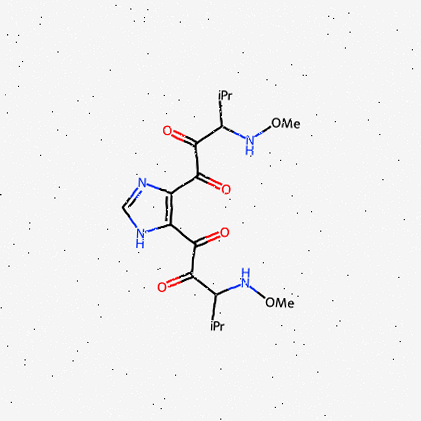 CONC(C(=O)C(=O)c1nc[nH]c1C(=O)C(=O)C(NOC)C(C)C)C(C)C